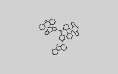 c1ccc2c(c1)Oc1ccccc1C21c2ccccc2-c2cc(N(c3ccc(-c4cccc5c4sc4ccccc45)cc3)c3cccc4c3-c3ccccc3C43c4ccccc4Sc4ccccc43)ccc21